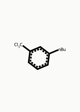 [CH2]CCCc1cccc(C(Cl)(Cl)Cl)c1